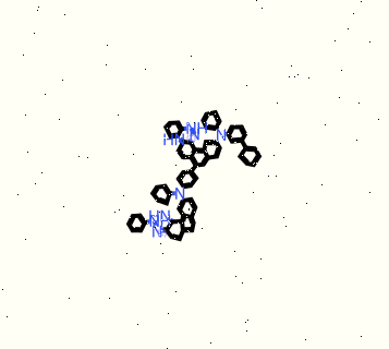 N=C1C=Cc2c(-c3ccc(N(c4ccccc4)c4ccc5ccc6c(c5c4)C(=N)/C(=N\Nc4ccccc4)C=C6)cc3)cc3ccc(N(c4ccccc4)c4cccc(-c5ccccc5)c4)cc3c2/C1=N/Nc1ccccc1